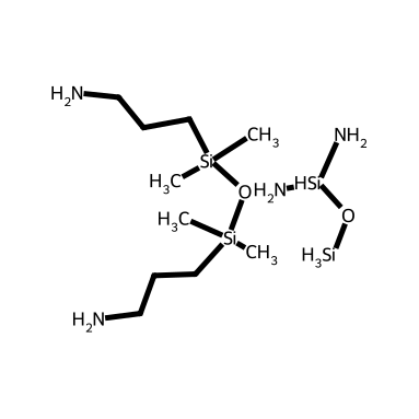 C[Si](C)(CCCN)O[Si](C)(C)CCCN.N[SiH](N)O[SiH3]